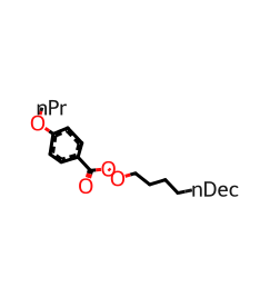 [CH2]CCCCCCCCCCCCCOOC(=O)c1ccc(OCCC)cc1